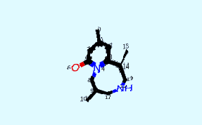 Cc1cc2n(c(=O)c1)CC(C)CNC[C@@H]2C